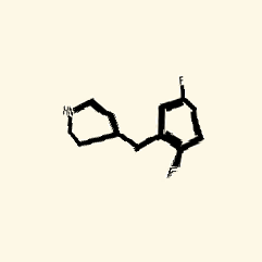 Fc1ccc(F)c(CC2CCNCC2)c1